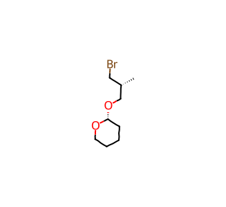 C[C@@H](CBr)CO[C@@H]1CCCCO1